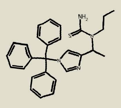 CCCN(C(N)=S)C(C)c1cn(C(c2ccccc2)(c2ccccc2)c2ccccc2)cn1